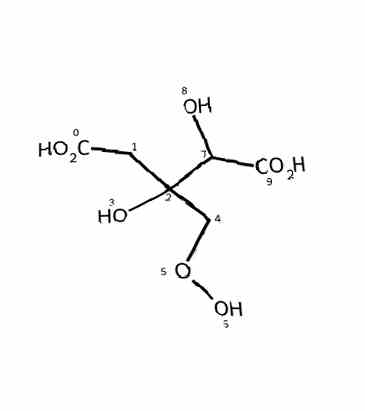 O=C(O)CC(O)(COO)C(O)C(=O)O